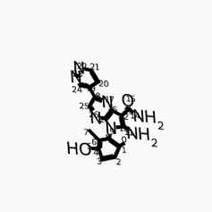 Cc1ccc(O)c(C)c1-n1c(N)c(C(N)=O)c2nc(-c3ccnnc3)cnc21